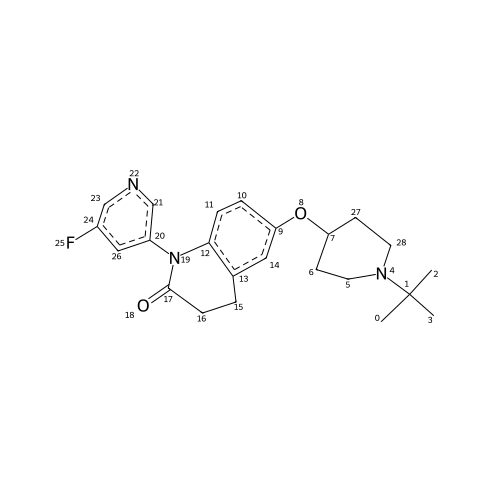 CC(C)(C)N1CCC(Oc2ccc3c(c2)CCC(=O)N3c2cncc(F)c2)CC1